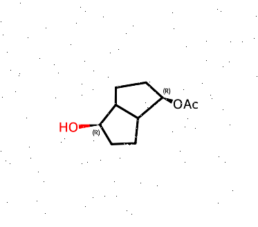 CC(=O)O[C@@H]1CCC2C1CC[C@H]2O